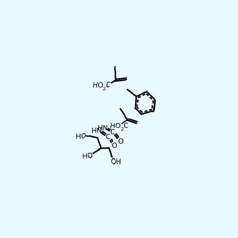 C=C(C)C(=O)O.C=C(C)C(=O)O.Cc1ccccc1.N=C=O.N=C=O.OCC(O)CO